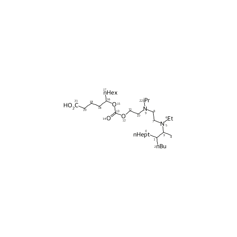 CCCCCCCC(CCCC)C(C)N(CC)CCN(CCOC(=O)OC(CCCCCC)CCCC(=O)O)C(C)C